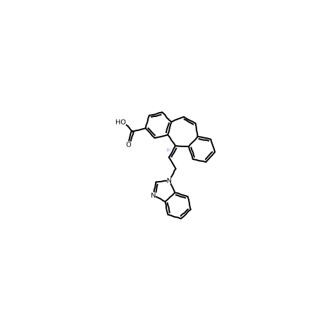 O=C(O)c1ccc2c(c1)/C(=C/Cn1cnc3ccccc31)c1ccccc1C=C2